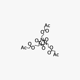 CC(=O)CC(=O)OCCn1c(=O)n(CCOC(=O)CC(C)=O)c(=O)n(CCOC(=O)CC(C)=O)c1=O